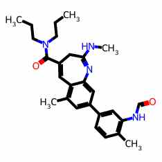 CCCN(CCC)C(=O)C1=Cc2c(C)cc(-c3ccc(C)c(NC=O)c3)cc2N=C(NC)C1